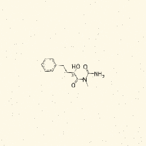 CN(C(N)=O)C(=O)[C@@H](O)[CH]Cc1ccccc1